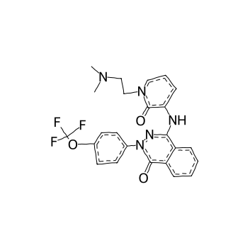 CN(C)CCn1cccc(Nc2nn(-c3ccc(OC(F)(F)F)cc3)c(=O)c3ccccc23)c1=O